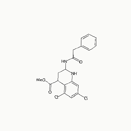 COC(=O)C1CC(NC(=O)Cc2ccccc2)Nc2cc(Cl)cc(Cl)c21